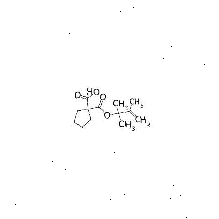 C=C(C)C(C)(C)OC(=O)C1(C(=O)O)CCCC1